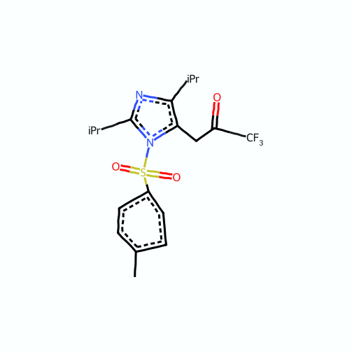 Cc1ccc(S(=O)(=O)n2c(C(C)C)nc(C(C)C)c2CC(=O)C(F)(F)F)cc1